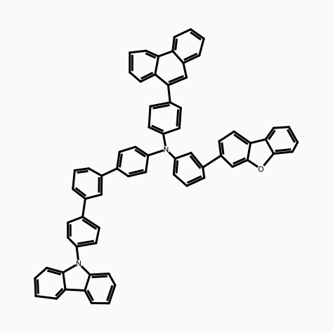 c1cc(-c2ccc(N(c3ccc(-c4cc5ccccc5c5ccccc45)cc3)c3cccc(-c4ccc5c(c4)oc4ccccc45)c3)cc2)cc(-c2ccc(-n3c4ccccc4c4ccccc43)cc2)c1